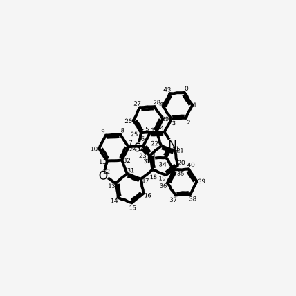 c1ccc(-c2cc(-c3cccc4oc5cccc(-c6cccc7c6sc6ccccc67)c5c34)nc(-c3ccccc3)n2)cc1